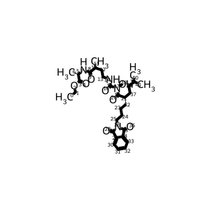 CCOC(=O)[C@H](C)NC(=O)[C@@H](C)CCNC(=O)N(O)C(=O)[C@@H](CCCCN1C(=O)c2ccccc2C1=O)CCC(C)C